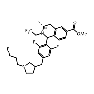 COC(=O)c1ccc2c(c1)C[C@@H](C)N(CC(F)(F)F)C2c1c(F)cc(CC2CCN(CCCF)C2)cc1F